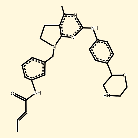 C/C=C/C(=O)Nc1cccc(CN2CCc3c(C)nc(Nc4ccc(C5CNCCO5)cc4)nc32)c1